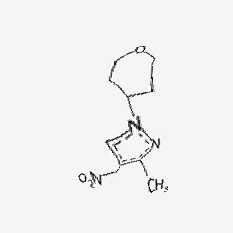 Cc1nn(C2CCOCC2)cc1[N+](=O)[O-]